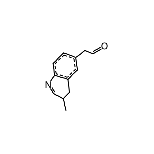 CC1C=Nc2ccc(CC=O)cc2C1